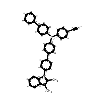 Cc1c(C)n(-c2ccc(-c3ccc(N(c4ccc(C#N)cc4)c4ccc(-c5ccccc5)cc4)cc3)cc2)c2ccccc12